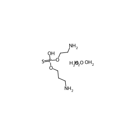 NCCCOP(O)(=S)OCCN.O.O.O